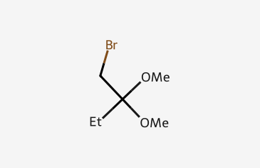 CCC(CBr)(OC)OC